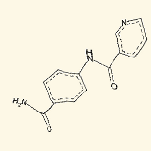 NC(=O)c1ccc(NC(=O)c2cccnc2)cc1